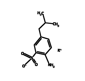 CC(C)Cc1ccc(N)c(S(=O)(=O)[O-])c1.[K+]